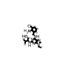 CCn1cnc2c(NCc3cccc(Cl)c3N)nc(NC(CO)C(C)C)nc21